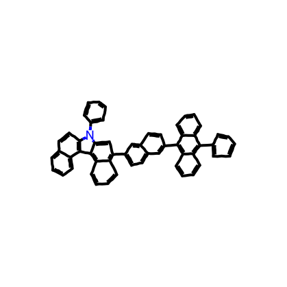 c1ccc(-c2c3ccccc3c(-c3ccc4cc(-c5cc6c(c7ccccc57)c5c7ccccc7ccc5n6-c5ccccc5)ccc4c3)c3ccccc23)cc1